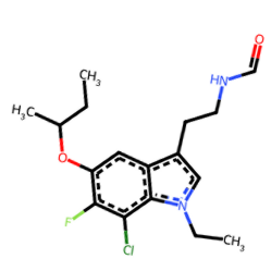 CCC(C)Oc1cc2c(CCNC=O)cn(CC)c2c(Cl)c1F